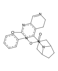 O=C(OCc1ccccc1)N1C2CCC1CN(c1nc(Cl)nc3c1CCN=C3)C2